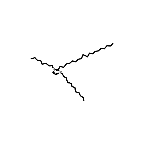 CCCCCCCCCCCCCCCCCCCc1n(CCCCCCCC)cc[n+]1CCCCCCCCCCCC